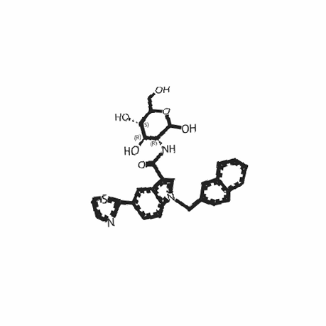 O=C(N[C@H]1C(O)OC(CO)[C@@H](O)[C@@H]1O)c1cn(Cc2ccc3ccccc3c2)c2ccc(-c3nccs3)cc12